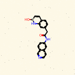 O=C(Cc1ccc2c(c1)NB(O)C=C2)Nc1ccc2cnccc2c1